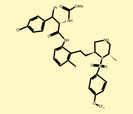 COC(=O)N[C@H](C(=O)Nc1cccc(F)c1CC[C@H]1CNC[C@H](C)N1S(=O)(=O)c1ccc(OC(F)(F)F)cc1)C(c1ccc(Cl)cc1)C(C)C